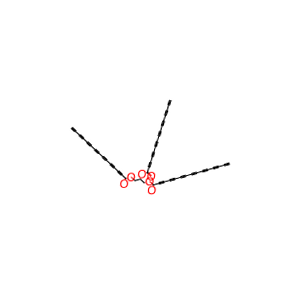 C#CC#CC#CC#CC#CC#CC#CC(=O)OCC(COC(=O)C#CC#CC#CC#CC#CC#CC#C)OC(=O)C#CC#CC#CC#CC#CC#CC#C